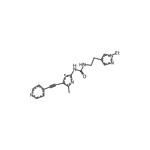 CCn1cc(CCNC(=O)Nc2nc(C)c(C#Cc3ccncc3)s2)cn1